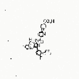 C[C@@H]1CCCN1Cc1sc(NC(=O)c2cnc(N3CCC(C(=O)O)CC3)cn2)nc1-c1ccc(F)c(OC(F)(F)F)c1